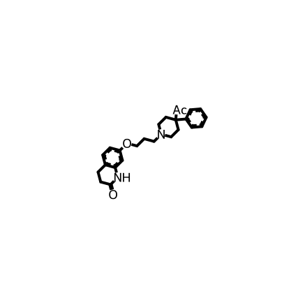 CC(=O)C1(c2ccccc2)CCN(CCCOc2ccc3c(c2)NC(=O)CC3)CC1